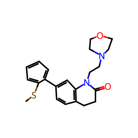 CSc1ccccc1-c1ccc2c(c1)N(CCN1CCOCC1)C(=O)CC2